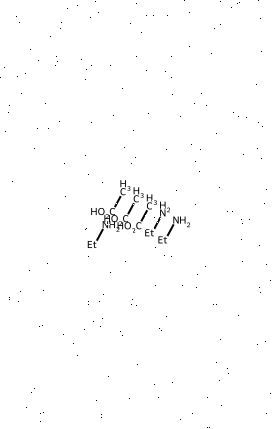 CC(=O)O.CC(=O)O.CC(=O)O.CCN.CCN.CCN